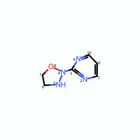 c1cnc(N2NCCO2)nc1